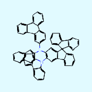 c1ccc2c(c1)-c1ccccc1C21c2ccccc2-c2cc(-n3c4ccccc4c4ccccc43)c(N(c3ccc4ccccc4c3)c3ccc4c5ccccc5c5ccccc5c4c3)cc21